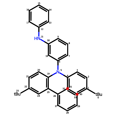 CC(C)(C)c1ccc(N(c2cccc(Nc3ccccc3)c2)c2ccc(C(C)(C)C)cc2-c2ccccc2)cc1